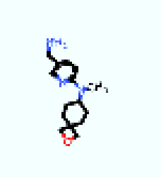 CN(c1ccc(CN)cn1)C1CCC2(CC1)COC2